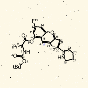 CC(C)C(NC(=O)OC(C)(C)C)C(=O)Oc1cc(F)ccc1/C=C1/SC(N2CCCCN2)=NC1=O